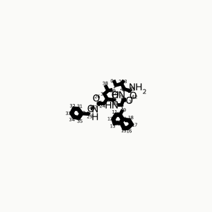 CCC(C)[C@H](NC(=O)[C@H](Cc1cccc2ccccc12)NC(=O)C(CC(=O)NOCc1ccccc1)CC(C)C)C(N)=O